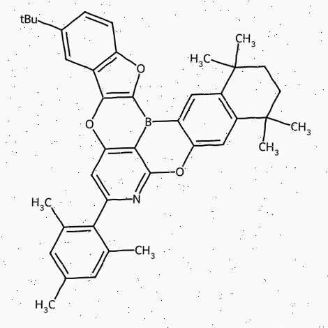 Cc1cc(C)c(-c2cc3c4c(n2)Oc2cc5c(cc2B4c2oc4ccc(C(C)(C)C)cc4c2O3)C(C)(C)CCC5(C)C)c(C)c1